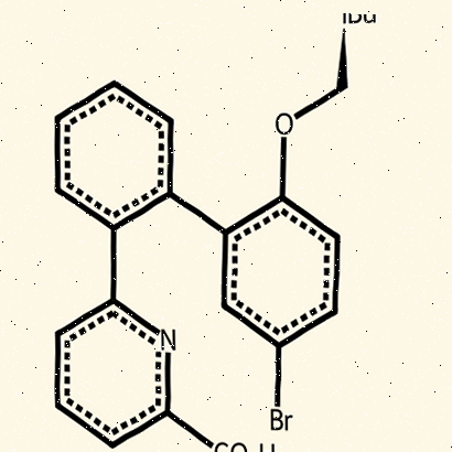 CC[C@H](C)COc1ccc(Br)cc1-c1ccccc1-c1cccc(C(=O)O)n1